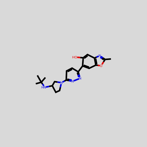 Cc1nc2cc(O)c(-c3ccc(N4CCC(NC(C)(C)C)C4)nn3)cc2o1